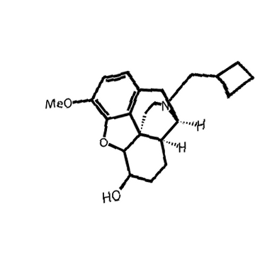 COc1ccc2c3c1OC1C(O)CC[C@@H]4[C@H](C2)N(CC2CCC2)CC[C@@]314